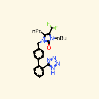 CCCCn1c(C(F)F)c(CCC)n(Cc2ccc(-c3ccccc3-c3nnn[nH]3)cc2)c1=O